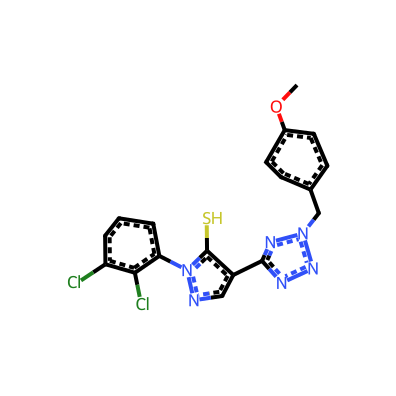 COc1ccc(Cn2nnc(-c3cnn(-c4cccc(Cl)c4Cl)c3S)n2)cc1